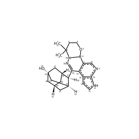 CC1(C)CCOB2c3cnc4[nH]ccc4c3C([C@@H]3[C@@H]4C[C@@H]5C[C@H]3C[C@@](O)(C5)C4)=NN21